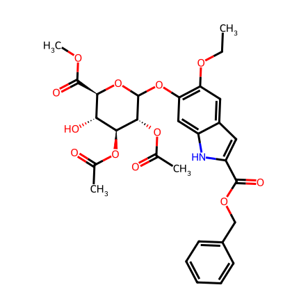 CCOc1cc2cc(C(=O)OCc3ccccc3)[nH]c2cc1OC1O[C@H](C(=O)OC)[C@@H](O)[C@H](OC(C)=O)[C@H]1OC(C)=O